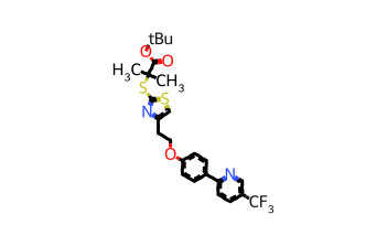 CC(C)(C)OC(=O)C(C)(C)Sc1nc(CCOc2ccc(-c3ccc(C(F)(F)F)cn3)cc2)cs1